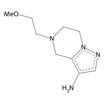 COCCN1CCn2ncc(N)c2C1